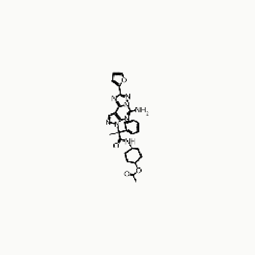 CC(=O)O[C@H]1CC[C@@H](NC(=O)[C@@](C)(c2ccccc2)n2ncc3c2nc(N)n2nc(-c4ccco4)nc32)CC1